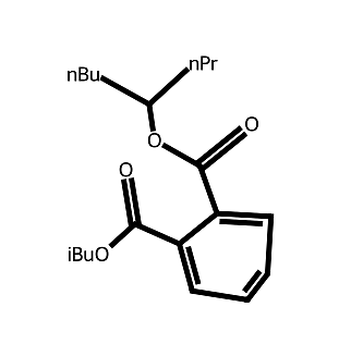 CCCCC(CCC)OC(=O)c1ccccc1C(=O)OCC(C)C